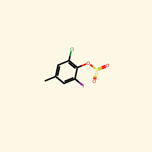 Cc1cc(Cl)c(O[SH](=O)=O)c(I)c1